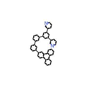 c1cncc(-c2cc(-c3cccnc3)cc(-c3cccc(-c4cccc(-c5ccc6c7ccccc7c7ccccc7c6c5)c4)c3)c2)c1